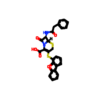 O=C(Cc1ccccc1)N[C@@H]1C(=O)N2C(C(=O)O)=C(Sc3cccc4c3oc3ccccc34)CS[C@H]12